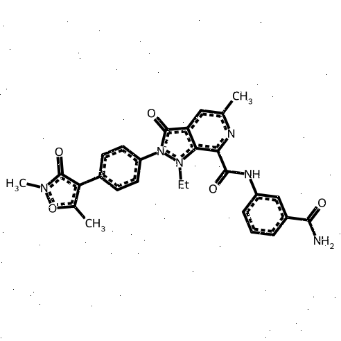 CCn1c2c(C(=O)Nc3cccc(C(N)=O)c3)nc(C)cc2c(=O)n1-c1ccc(-c2c(C)on(C)c2=O)cc1